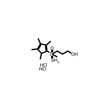 CC1=C(C)C(C)[C]([Ti]([CH3])(=[O])(=[SiH2])[CH2]CCO)=C1C.Cl.Cl